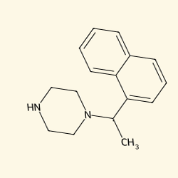 C[C](c1cccc2ccccc12)N1CCNCC1